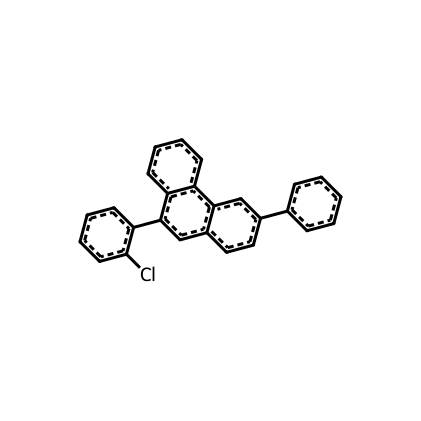 Clc1ccccc1-c1cc2ccc(-c3ccccc3)cc2c2ccccc12